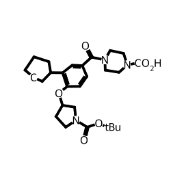 CC(C)(C)OC(=O)N1CCC(Oc2ccc(C(=O)N3CCN(C(=O)O)CC3)cc2C2CCCCC2)C1